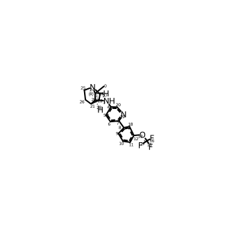 C[C@@H]1[C@@H](Nc2ccc(-c3cccc(OC(F)(F)F)c3)nc2)C2CCN1CC2